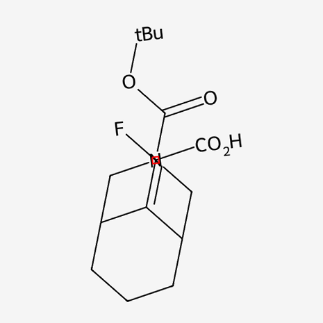 CC(C)(C)OC(=O)N1CC2CCCC(C1)C2=C(F)C(=O)O